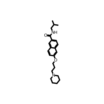 CC(C)CNC(=O)c1ccc2cc(OCCCN3CCCCC3)ccc2c1